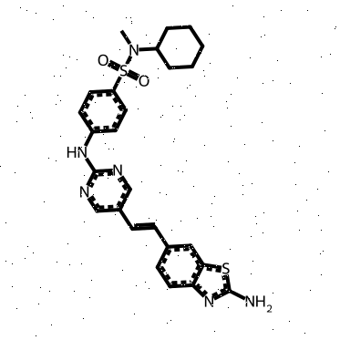 CN(C1CCCCC1)S(=O)(=O)c1ccc(Nc2ncc(/C=C/c3ccc4nc(N)sc4c3)cn2)cc1